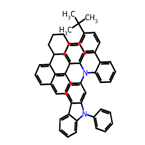 CC(C)(C)c1ccc(-c2ccccc2N(c2ccc3c4ccccc4n(-c4ccccc4)c3c2)c2ccccc2-c2cccc3cccc(C4CCCCC4)c23)cc1